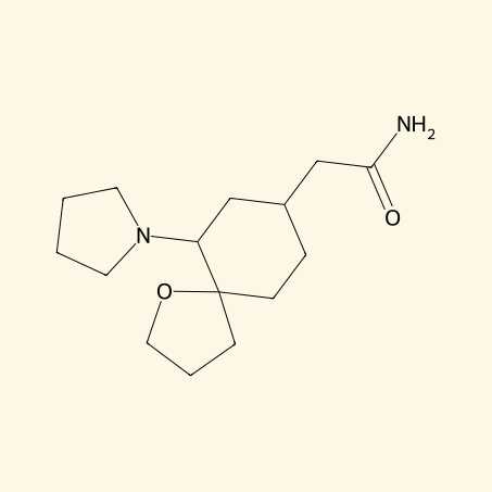 NC(=O)CC1CCC2(CCCO2)C(N2CCCC2)C1